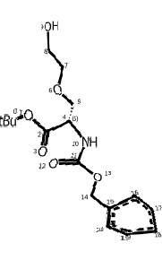 CC(C)(C)OC(=O)[C@H](COCCO)NC(=O)OCc1ccccc1